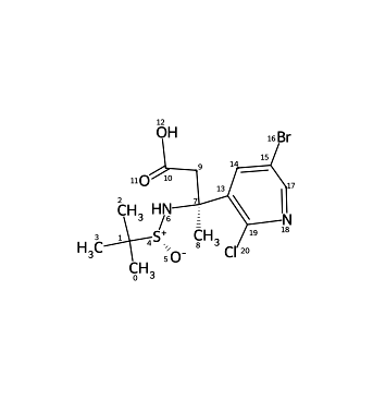 CC(C)(C)[S@@+]([O-])N[C@@](C)(CC(=O)O)c1cc(Br)cnc1Cl